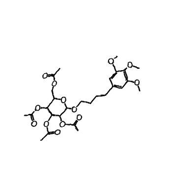 COc1cc(CCCCOC2OC(COC(C)=O)C(OC(C)=O)C(OC(C)=O)C2OC(C)=O)cc(OC)c1OC